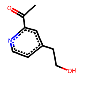 CC(=O)c1cc(CCO)ccn1